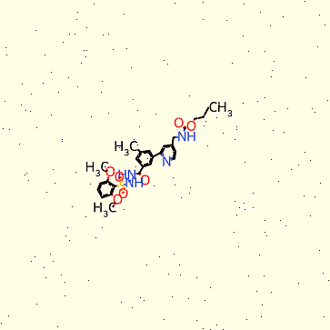 CCCCOC(=O)NCc1ccnc(-c2cc(C)cc(C(=O)NNS(=O)(=O)c3c(OC)cccc3OC)c2)c1